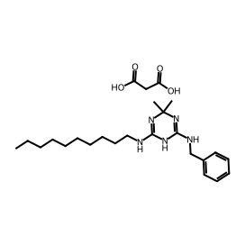 CCCCCCCCCCNC1=NC(C)(C)N=C(NCc2ccccc2)N1.O=C(O)CC(=O)O